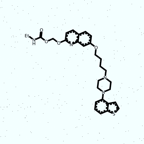 CCNC(=O)OCOc1ccc2ccc(OCCCCN3CCN(c4cccc5sccc45)CC3)cc2n1